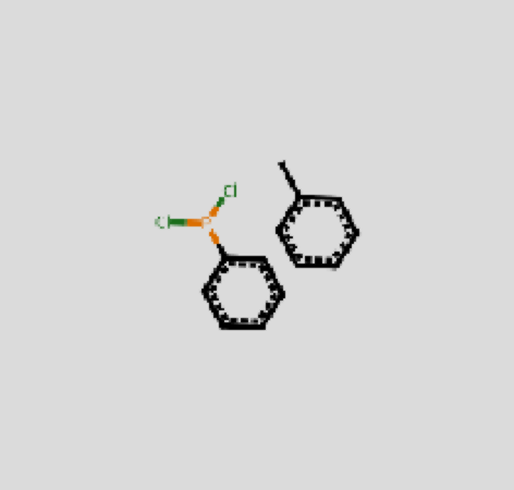 Cc1ccccc1.ClP(Cl)c1ccccc1